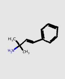 CC(C)(N)/C=C/c1ccccc1